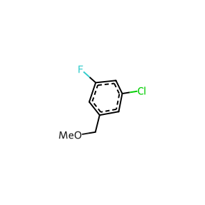 COCc1cc(F)cc(Cl)c1